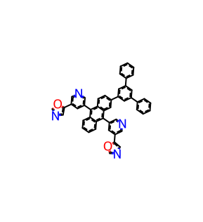 c1ccc(-c2cc(-c3ccccc3)cc(-c3ccc4c(-c5cncc(-c6cnco6)c5)c5ccccc5c(-c5cncc(-c6cnco6)c5)c4c3)c2)cc1